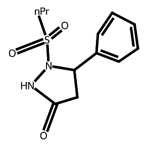 CCCS(=O)(=O)N1NC(=O)CC1c1ccccc1